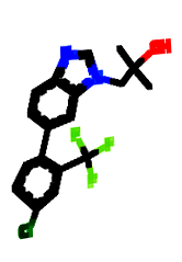 CC(C)(O)Cn1cnc2ccc(-c3ccc(Cl)cc3C(F)(F)F)cc21